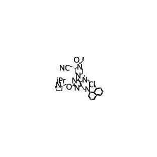 C=CC(=O)N1CCN(c2nc(OC[C@H]3CCCN3C(C)C)nc3c2N(C)CCN(c2cccc4cccc(Cl)c24)C3)C[C@@H]1CC#N